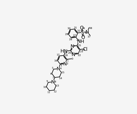 Cc1nc(N2CCC(N3CCCCC3)CC2)ccc1Nc1ncc(Cl)c(Nc2ccccc2S(=O)(=O)N(C)C)n1